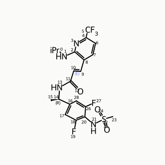 CC(C)Nc1nc(C(F)(F)F)ccc1/C=C/C(=O)N[C@H](C)c1cc(F)c(NS(C)(=O)=O)c(F)c1